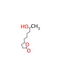 CC(O)CCCCC1CCC(=O)O1